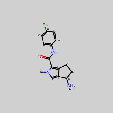 Cn1cc2c(c1C(=O)Nc1ccc(F)cc1)CCC2N